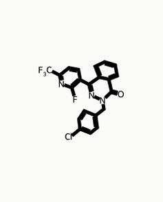 O=c1c2ccccc2c(-c2ccc(C(F)(F)F)nc2F)nn1Cc1ccc(Cl)cc1